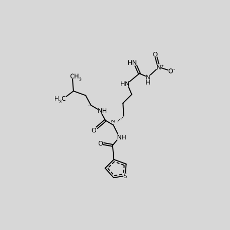 CC(C)C[CH]NC(=O)[C@H](CCCNC(=N)N[N+](=O)[O-])NC(=O)c1ccsc1